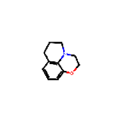 c1cc2c3c(c1)OCCN3CCC2